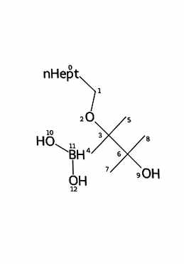 CCCCCCCCOC(C)(C)C(C)(C)O.OBO